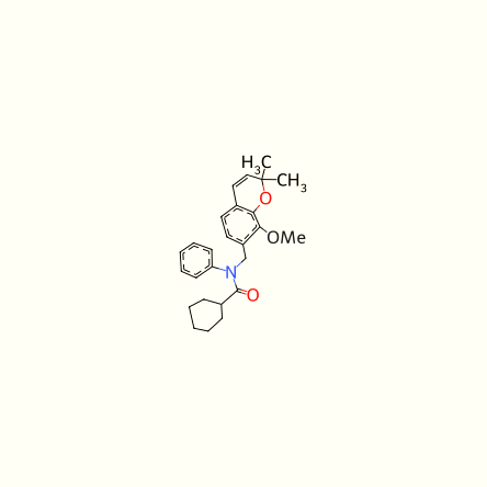 COc1c(CN(C(=O)C2CCCCC2)c2ccccc2)ccc2c1OC(C)(C)C=C2